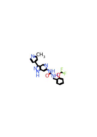 Cc1cc(-c2n[nH]c3cc(NC(=O)NCc4ccccc4OC(F)F)ncc23)ccn1